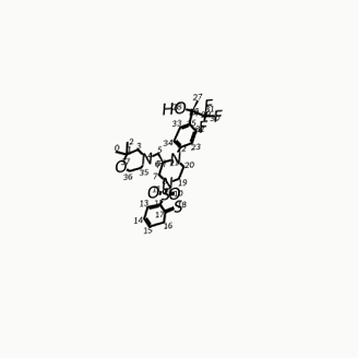 CC1(C)CN(C[C@@H]2CN(S(=O)(=O)C3=CC=CCC3=S)CCN2c2ccc([C@](C)(O)C(F)(F)F)cc2)CCO1